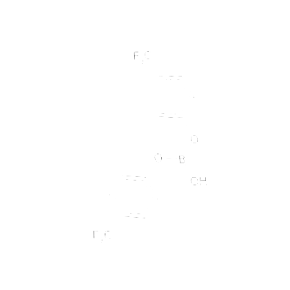 OB(Oc1ccc(C(F)(F)F)cc1)Oc1ccc(C(F)(F)F)cc1